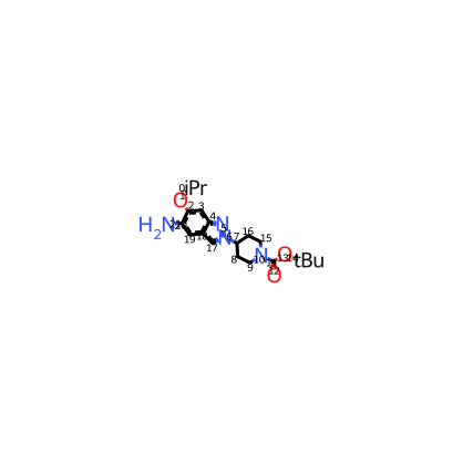 CC(C)Oc1cc2nn(C3CCN(C(=O)OC(C)(C)C)CC3)cc2cc1N